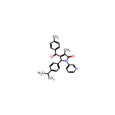 CC1=C(C(=O)c2ccc(C)cc2)C(c2ccc(C(C)C)cc2)N(c2cccnc2)C1=O